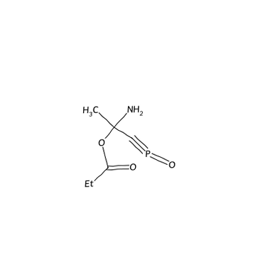 CCC(=O)OC(C)(N)C#P=O